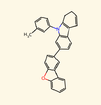 Cc1cccc(-n2c3c(c4ccc(-c5ccc6oc7ccccc7c6c5)cc42)C=CCC3)c1